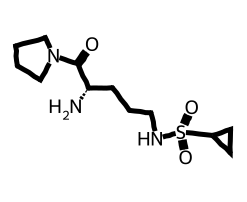 N[C@@H](CCCNS(=O)(=O)C1CC1)C(=O)N1CCCC1